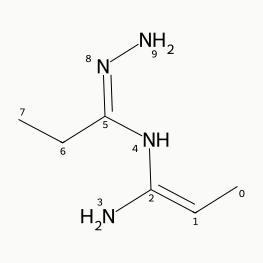 C/C=C(/N)N/C(CC)=N\N